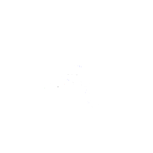 C=CCC1N(S(=O)(=O)c2ccc(F)cc2)c2ccc(C(=O)NCc3ncccc3C)cc2C12CCNCC2